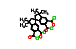 CC1(C)CC2(CC(C)(C)c3cc(C(=O)Cl)c(C(=O)Cl)cc32)c2cc(C(=O)Cl)c(C(=O)Cl)cc21